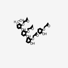 CC.Oc1ccccc1OCC1CO1.Oc1ccccc1OCC1CO1.Oc1ccccc1OCC1CO1.Oc1ccccc1OCC1CO1